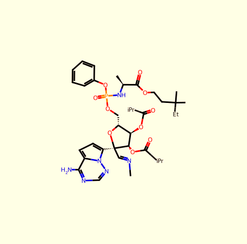 CCC(C)(C)CCOC(=O)[C@H](C)NP(=O)(OC[C@H]1O[C@@](/C=N/C)(c2ccc3c(N)ncnn23)[C@H](OC(=O)C(C)C)[C@@H]1OC(=O)C(C)C)Oc1ccccc1